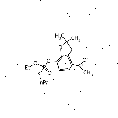 CCCSP(=O)(OCC)Oc1ccc([S+](C)[O-])c2c1OC(C)(C)C2